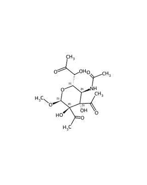 CO[C@H]1O[C@H](C(O)C(C)=O)[C@@H](NC(C)=O)[C@@](O)(C(C)=O)[C@]1(O)C(C)=O